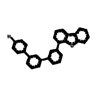 CCc1ccc(-c2cccc(-c3cccc(-c4cccc5c4oc4ccccc45)c3)c2)cc1